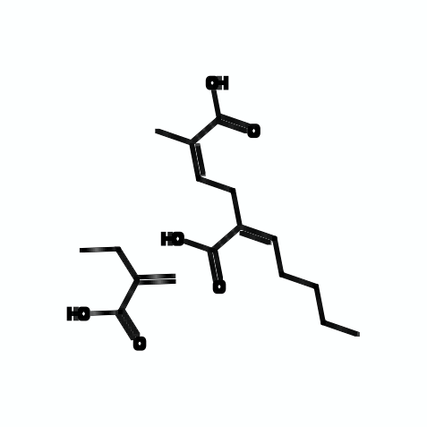 C=C(CC)C(=O)O.CCCCC=C(CC=C(C)C(=O)O)C(=O)O